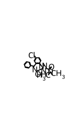 CN(C)C(=O)c1nc2n(n1)-c1ccc(Cl)cc1C(c1ccccc1)=NC2O